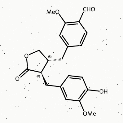 COc1cc(C[C@H]2C(=O)OC[C@@H]2Cc2ccc(C=O)c(OC)c2)ccc1O